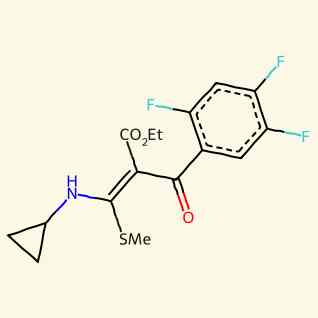 CCOC(=O)C(C(=O)c1cc(F)c(F)cc1F)=C(NC1CC1)SC